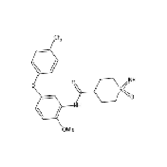 COc1ccc(Oc2ccc(C(F)(F)F)cc2)cc1NC(=O)C1CCS(=N)(=O)CC1